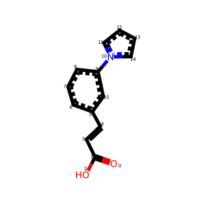 O=C(O)C=Cc1cccc(-n2cccc2)c1